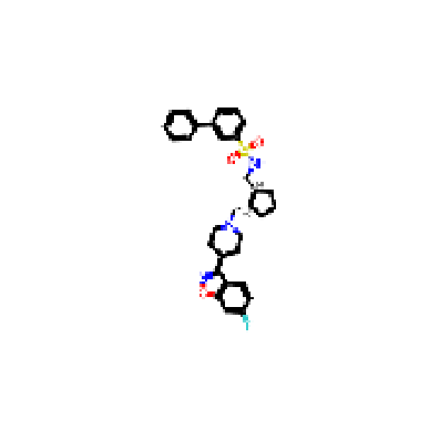 O=S(=O)(NC[C@H]1CCC[C@@H]1CN1CCC(c2noc3cc(F)ccc23)CC1)c1cccc(-c2ccccc2)c1